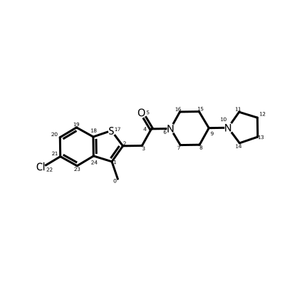 Cc1c(CC(=O)N2CCC(N3CCCC3)CC2)sc2ccc(Cl)cc12